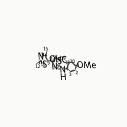 COc1ccc(Nc2nc(-c3sc(C)nc3C)cs2)c(C=O)c1